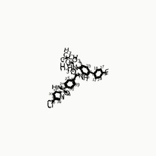 CC(C)(C)OC(=O)Nc1ccc(-c2ccc(F)cc2)cc1NC(=O)c1ccc(S(=N)(=O)c2ccc(Cl)cn2)cc1